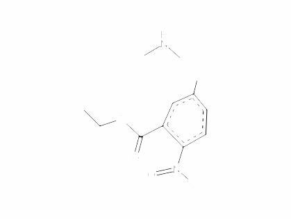 CCOC(=O)c1cc(F)ccc1[N+](=O)[O-].CNC